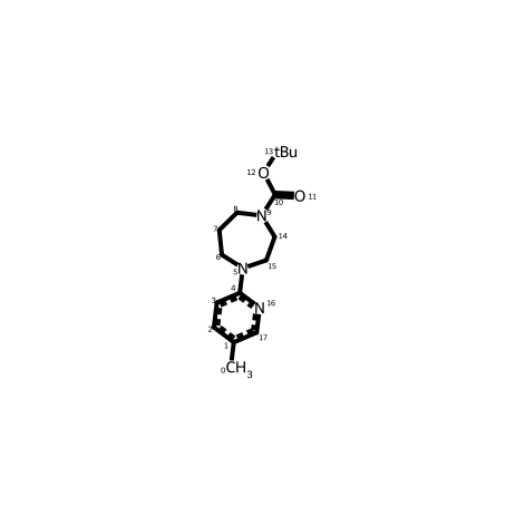 Cc1ccc(N2CCCN(C(=O)OC(C)(C)C)CC2)nc1